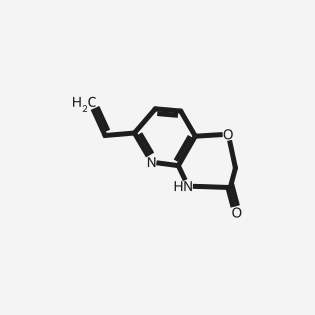 C=Cc1ccc2c(n1)NC(=O)CO2